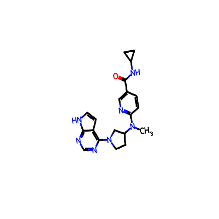 CN(c1ccc(C(=O)NC2CC2)cn1)C1CCN(c2ncnc3[nH]ccc23)C1